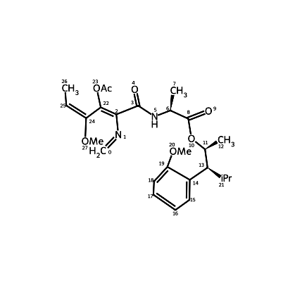 C=N/C(C(=O)N[C@@H](C)C(=O)O[C@@H](C)[C@H](c1ccccc1OC)C(C)C)=C(OC(C)=O)\C(=C/C)OC